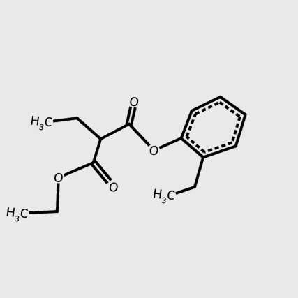 CCOC(=O)C(CC)C(=O)Oc1ccccc1CC